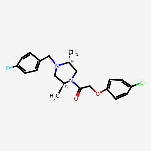 C[C@@H]1CN(C(=O)COc2ccc(Cl)cc2)[C@@H](C)CN1Cc1ccc(F)cc1